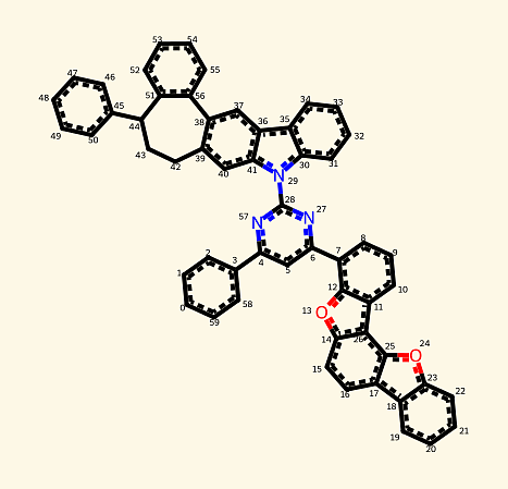 c1ccc(-c2cc(-c3cccc4c3oc3ccc5c6ccccc6oc5c34)nc(-n3c4ccccc4c4cc5c(cc43)CCC(c3ccccc3)c3ccccc3-5)n2)cc1